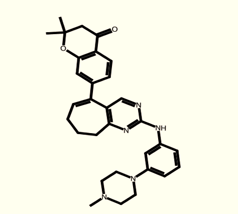 CN1CCN(c2cccc(Nc3ncc4c(n3)CCCC=C4c3ccc4c(c3)OC(C)(C)CC4=O)c2)CC1